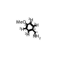 [2H]c1c([2H])c(OC)c([2H])c([2H])c1CN